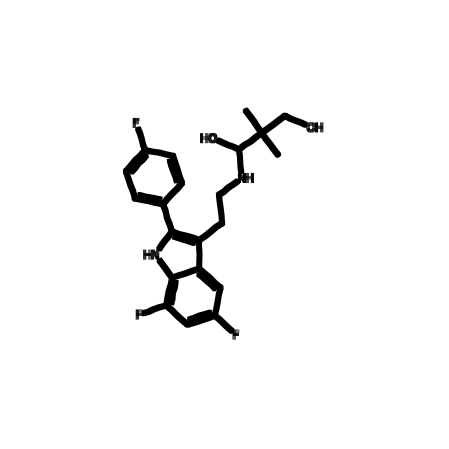 CC(C)(CO)C(O)NCCc1c(-c2ccc(F)cc2)[nH]c2c(F)cc(F)cc12